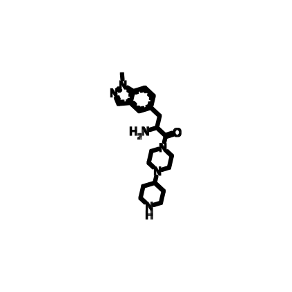 Cn1ncc2cc(CC(N)C(=O)N3CCN(C4CCNCC4)CC3)ccc21